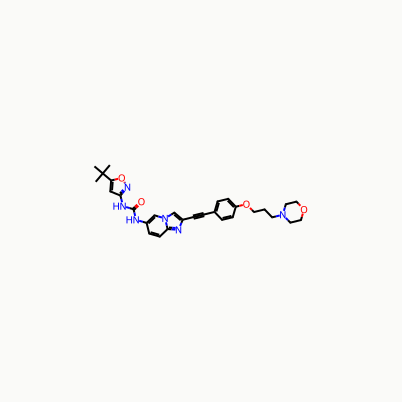 CC(C)(C)c1cc(NC(=O)Nc2ccc3nc(C#Cc4ccc(OCCCN5CCOCC5)cc4)cn3c2)no1